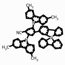 Cc1ccc2c(c1)c1cc(C)ccc1n2-c1cc(-c2ccc3c(c2)[Si]2(c4ccccc4-c4ccccc42)c2ccccc2-3)c(-n2c3ccc(C)cc3c3cc(C)ccc32)cc1C#N